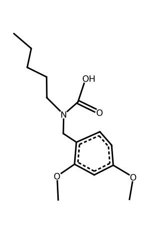 CCCCCN(Cc1ccc(OC)cc1OC)C(=O)O